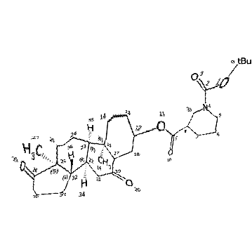 CC(C)(C)OC(=O)N1CCCC(C(=O)OC2CC[C@@]3(C)C(C2)C(=O)C[C@@H]2[C@H]3CC[C@]3(C)C(=O)CC[C@@H]23)C1